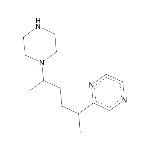 CC(CCC(C)N1CCNCC1)c1cnccn1